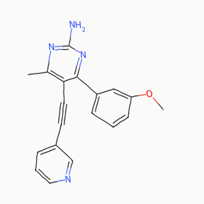 COc1cccc(-c2nc(N)nc(C)c2C#Cc2cccnc2)c1